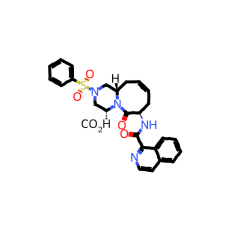 O=C(N[C@H]1CC=CC[C@H]2CN(S(=O)(=O)c3ccccc3)C[C@@H](C(=O)O)N2C1=O)c1nccc2ccccc12